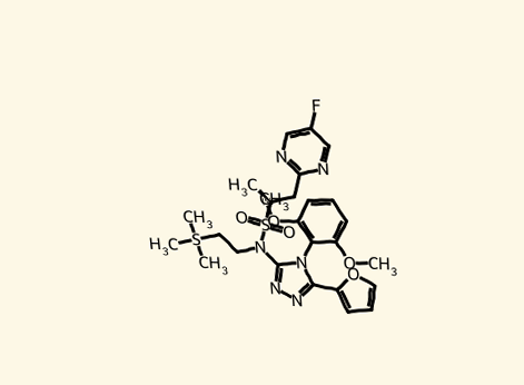 COc1cccc(OC)c1-n1c(-c2ccco2)nnc1N(CCS(C)(C)C)S(=O)(=O)[C@@H](C)Cc1ncc(F)cn1